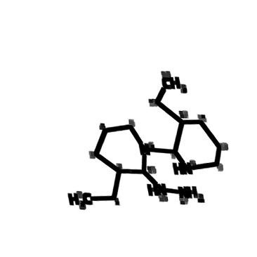 CCC1CCCN(C2NCCCC2CC)C1NN